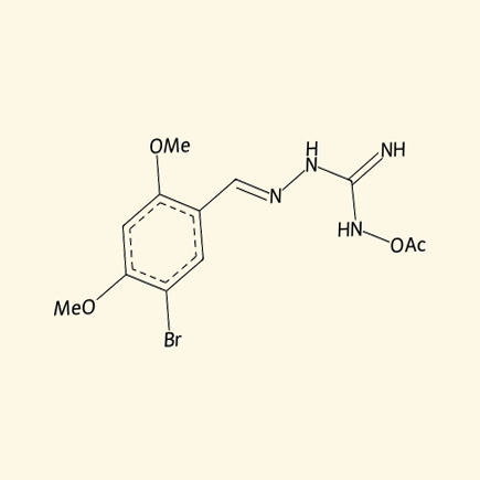 COc1cc(OC)c(C=NNC(=N)NOC(C)=O)cc1Br